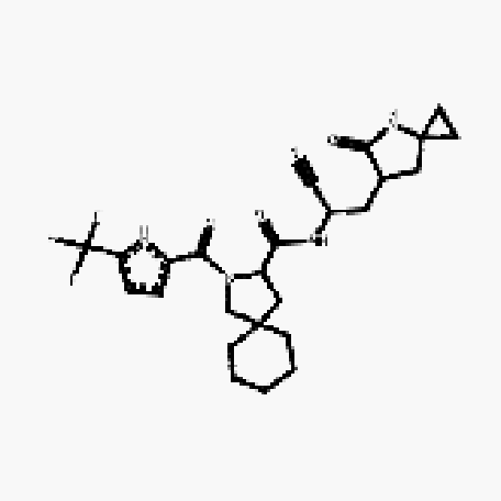 N#CC(CC1CC2(CC2)NC1=O)NC(=O)C1CC2(CCCCC2)CN1C(=O)c1ccc(C(F)(F)F)[nH]1